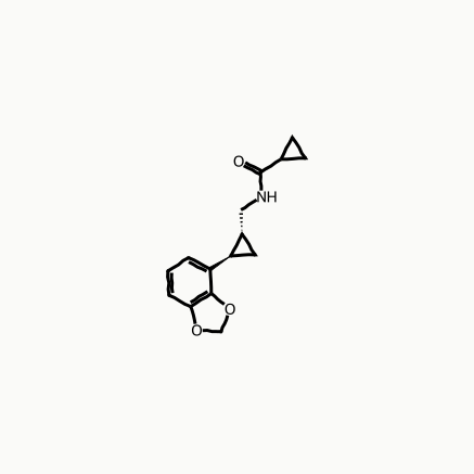 O=C(NC[C@@H]1C[C@H]1c1cccc2c1OCO2)C1CC1